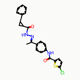 C/C(=N\NC(=O)C1CC1c1ccccc1)c1ccc(NC(=O)c2ccc(Cl)s2)cc1